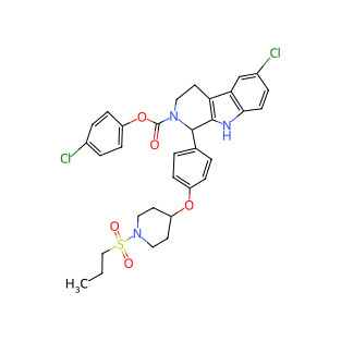 CCCS(=O)(=O)N1CCC(Oc2ccc(C3c4[nH]c5ccc(Cl)cc5c4CCN3C(=O)Oc3ccc(Cl)cc3)cc2)CC1